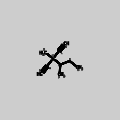 C#C[Si](C)(C#C)C(C)CC